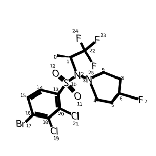 C[C@H](N(N1CCC(F)CC1)S(=O)(=O)c1ccc(Br)c(Cl)c1Cl)C(F)(F)F